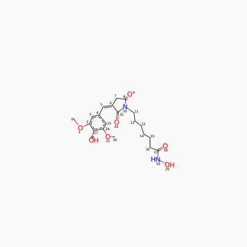 COc1cc(C=C2CC(=O)N(CCCCCCC(=O)NO)C2=O)cc(OC)c1O